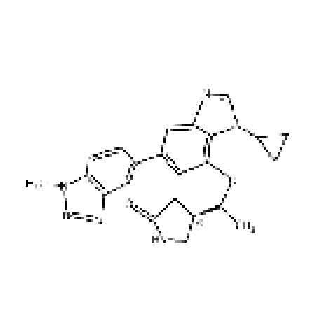 CC(Oc1cc(-c2ccc3c(cnn3C)c2)cc2ncn(C3CC3)c12)[C@H]1CNC(=O)C1